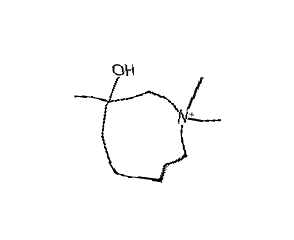 CC1(O)CCCC[N+](C)(C)C1